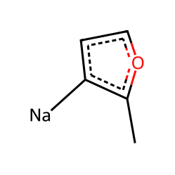 Cc1occ[c]1[Na]